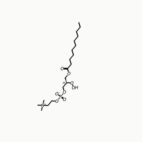 CCCCCCCCCCC(=O)OC[C@H](COP(=O)([O-])OCC[N+](C)(C)C)OO